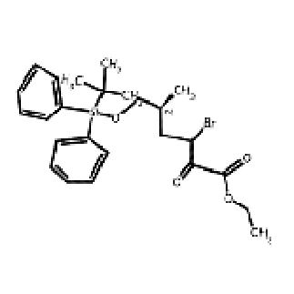 CCOC(=O)C(=O)C(Br)C[C@H](C)CO[Si](c1ccccc1)(c1ccccc1)C(C)(C)C